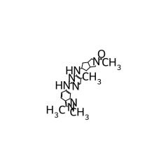 CC(=O)N1CC2CC(Nc3nc(Nc4ccc5c(C)n(C)nc5c4)ncc3C)CC2C1